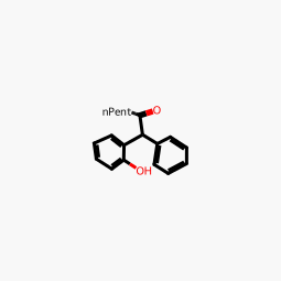 CCCCCC(=O)C(c1ccccc1)c1ccccc1O